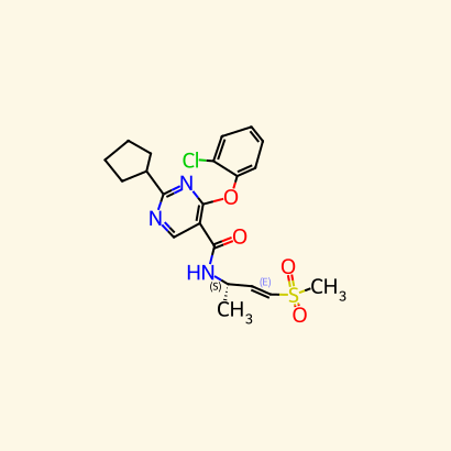 C[C@@H](/C=C/S(C)(=O)=O)NC(=O)c1cnc(C2CCCC2)nc1Oc1ccccc1Cl